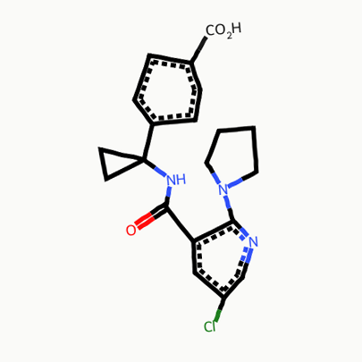 O=C(O)c1ccc(C2(NC(=O)c3cc(Cl)cnc3N3CCCC3)CC2)cc1